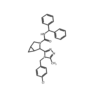 Cc1nnc(C2C3CC3CN2C(=O)NC(c2ccccc2)c2ccccc2)n1Cc1ccc(Cl)cc1